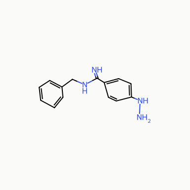 N=C(NCc1ccccc1)c1ccc(NN)cc1